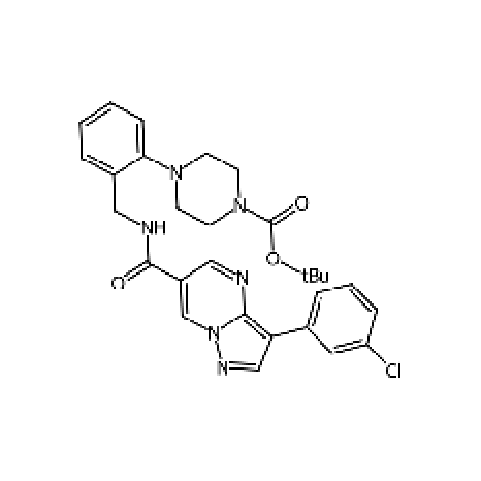 CC(C)(C)OC(=O)N1CCN(c2ccccc2CNC(=O)c2cnc3c(-c4cccc(Cl)c4)cnn3c2)CC1